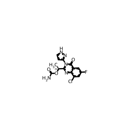 C[C@H](OC(N)=O)c1nc2c(Cl)cc(F)cc2c(=O)n1-c1cc[nH]n1